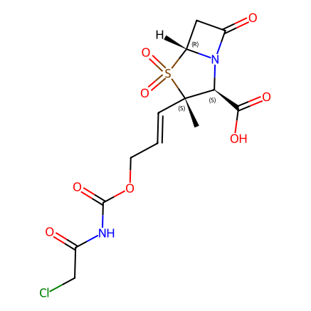 C[C@]1(C=CCOC(=O)NC(=O)CCl)[C@H](C(=O)O)N2C(=O)C[C@H]2S1(=O)=O